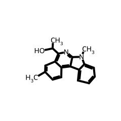 Cc1ccc2c(c1)c(C(C)O)nc1c2c2ccccc2n1C